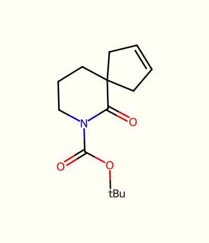 CC(C)(C)OC(=O)N1CCCC2(CC=CC2)C1=O